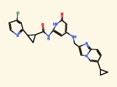 O=C(Nc1cc(NCc2cn3cc(C4CC4)ccc3n2)cc(=O)[nH]1)C1CC1c1cc(Cl)ccn1